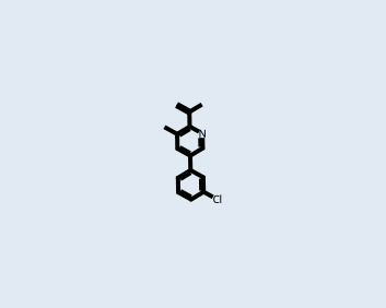 C=C(C)c1ncc(-c2cccc(Cl)c2)cc1C